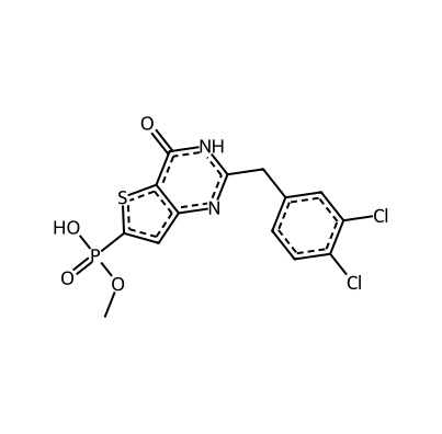 COP(=O)(O)c1cc2nc(Cc3ccc(Cl)c(Cl)c3)[nH]c(=O)c2s1